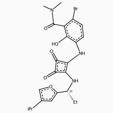 CC[C@@H](Nc1c(Nc2ccc(Br)c(C(=O)N(C)C)c2O)c(=O)c1=O)c1cc(C(C)C)co1